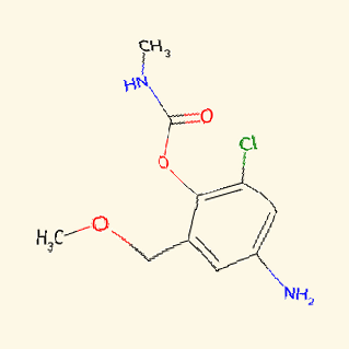 CNC(=O)Oc1c(Cl)cc(N)cc1COC